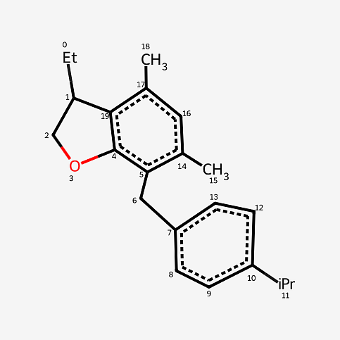 CCC1COc2c(Cc3ccc(C(C)C)cc3)c(C)cc(C)c21